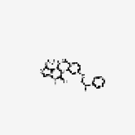 CC(COc1ccc(Cl)c(-n2c(=O)[nH]c3csc(C(=O)O)c3c2=O)c1)c1ccccc1